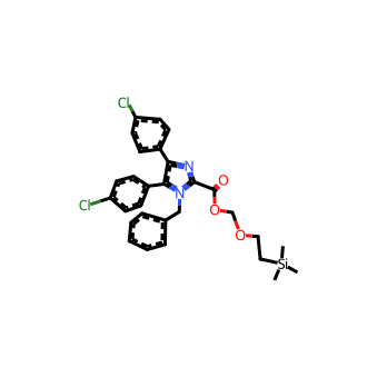 C[Si](C)(C)CCOCOC(=O)c1nc(-c2ccc(Cl)cc2)c(-c2ccc(Cl)cc2)n1Cc1ccccc1